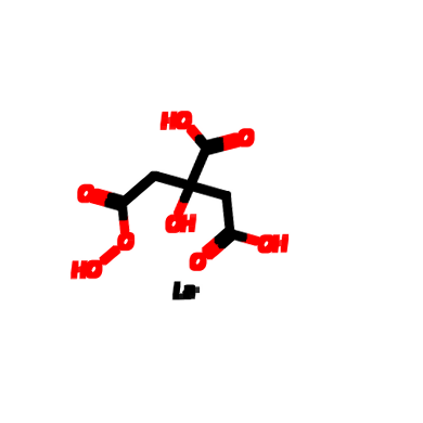 O=C(O)CC(O)(CC(=O)OO)C(=O)O.[La]